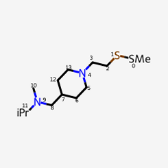 CSSCCN1CCC(CN(C)C(C)C)CC1